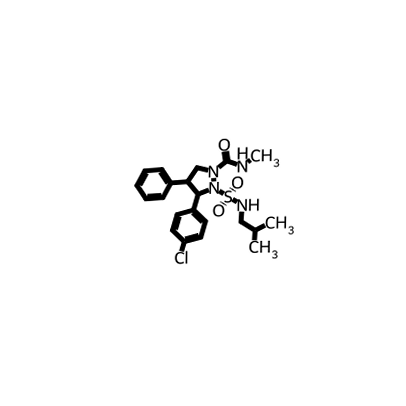 CNC(=O)N1CC(c2ccccc2)C(c2ccc(Cl)cc2)N1S(=O)(=O)NCC(C)C